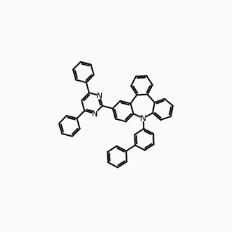 c1ccc(-c2cccc(N3c4ccccc4-c4ccccc4-c4cc(-c5nc(-c6ccccc6)cc(-c6ccccc6)n5)ccc43)c2)cc1